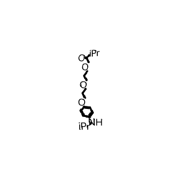 CC(C)Nc1ccc(OCCCOCCCOCC(=O)C(C)C)cc1